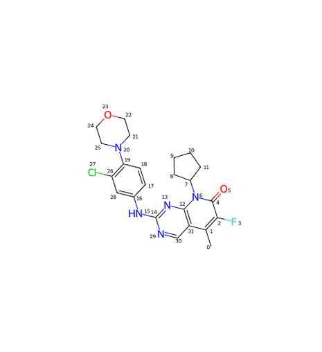 Cc1c(F)c(=O)n(C2CCCC2)c2nc(Nc3ccc(N4CCOCC4)c(Cl)c3)ncc12